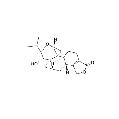 CC(C)[C@@]1(C)O[C@@H]2C[C@]23[C@]2(C[C@H]2C[C@H]2C4=C(CC[C@@]23C)C(=O)OC4)[C@@H]1O